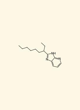 CCCCCCC(CC)c1nc2cccnc2[nH]1